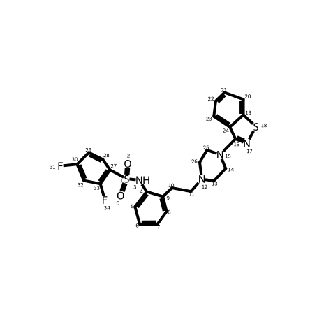 O=S(=O)(Nc1ccccc1CCN1CCN(c2nsc3ccccc23)CC1)c1ccc(F)cc1F